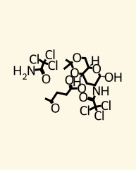 CC(=O)CCC(=O)O[C@@H]1[C@@H](NC(=O)C(Cl)(Cl)Cl)[C@@H](O)O[C@@H]2COC(C)(C)O[C@@H]12.NC(=O)C(Cl)(Cl)Cl